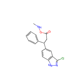 CNOC(=O)CC(c1ccccc1)c1ccc2[nH]nc(Cl)c2c1